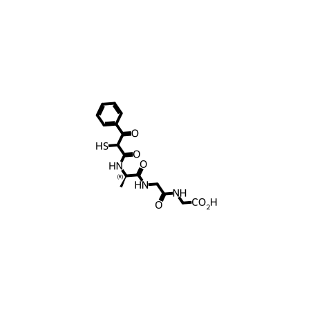 C[C@@H](NC(=O)C(S)C(=O)c1ccccc1)C(=O)NCC(=O)NCC(=O)O